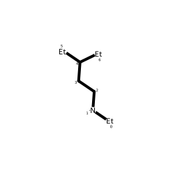 CC[N]CCC(CC)CC